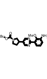 COc1c(N)cccc1-c1ncc(C2CCN(C(=O)OC(C)(C)C)C2)cn1